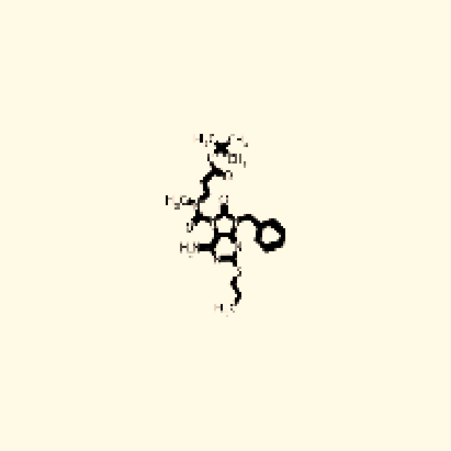 CCCSc1nc(N)c2c(n1)n(Cc1ccccc1)c(=O)n2C(=O)N(C)CCC(=O)OC(C)(C)C